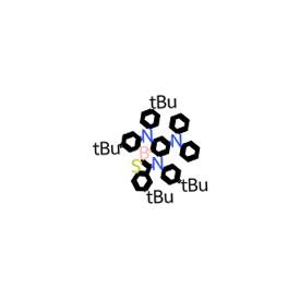 CC(C)(C)c1ccc(N2c3ccc(C(C)(C)C)cc3B3c4sc5ccc(C(C)(C)C)cc5c4N(c4ccc(C(C)(C)C)cc4)c4cc(N(c5ccccc5)c5ccccc5)cc2c43)cc1